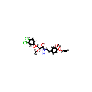 C#CCOc1ccc(CCNC(=O)[C@H](COc2ccc(Cl)c(Cl)c2)OCC)cc1OC